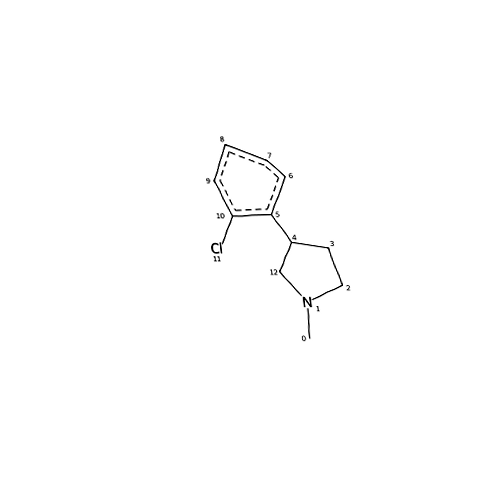 CN1CCC(c2ccccc2Cl)C1